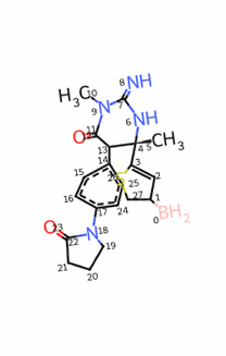 BC1C=C([C@@]2(C)NC(=N)N(C)C(=O)C2c2ccc(N3CCCC3=O)cc2)SC1